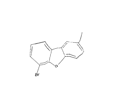 Cc1ccc2oc3c(Br)cccc3c2c1